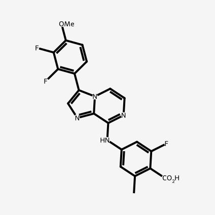 COc1ccc(-c2cnc3c(Nc4cc(C)c(C(=O)O)c(F)c4)nccn23)c(F)c1F